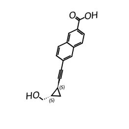 O=C(O)c1ccc2cc(C#C[C@H]3C[C@@H]3CO)ccc2c1